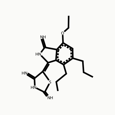 CCCc1cc(OCC)c2c(c1CCC)C(=C1SC(=N)NC1=N)NC2=N